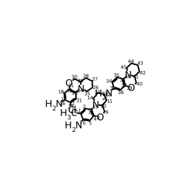 Cc1cc2c(cc1N)OCC1CCCCN21.Nc1cc2c(cc1Cl)N1CCCCC1CO2.Nc1ccc2c(c1)OCC1CCCCN21